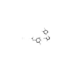 Cc1ccc(-n2ccc(C(F)(F)F)c2COc2c(F)cc(CC(C)C(=O)O)cc2F)cc1F